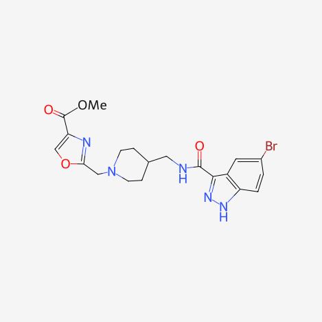 COC(=O)c1coc(CN2CCC(CNC(=O)c3n[nH]c4ccc(Br)cc34)CC2)n1